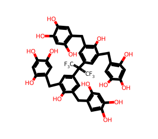 Oc1cc(O)c(Cc2cc(C(c3cc(Cc4cc(O)c(O)cc4O)c(O)c(Cc4cc(O)c(O)cc4O)c3)(C(F)(F)F)C(F)(F)F)cc(Cc3cc(O)c(O)cc3O)c2O)cc1O